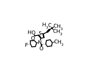 CC(C)(C)C#Cc1cc(N(C(=O)[C@H]2CC[C@H](C)CC2)[C@H]2CC[C@H](F)CC2)c(C(=O)O)s1